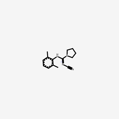 Cc1cccc(C)c1N/C(=N/C#N)N1CCCC1